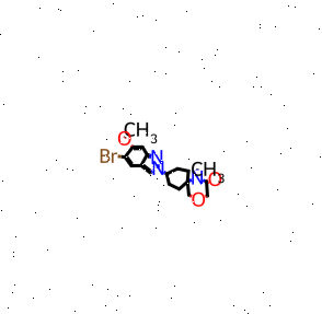 COc1cc2nn(C3CCC4(CC3)COCC(=O)N4C)cc2cc1Br